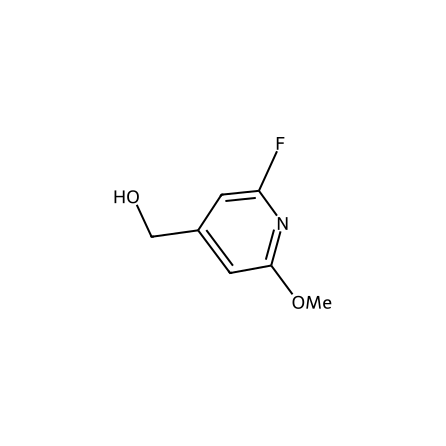 COc1cc(CO)cc(F)n1